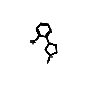 Cc1cccnc1N1CC[C@@H](F)C1